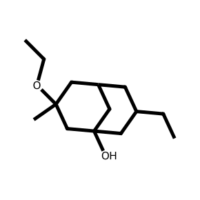 CCOC1(C)CC2CC(CC)CC(O)(C2)C1